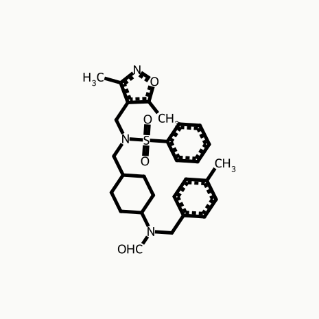 Cc1ccc(CN(C=O)C2CCC(CN(Cc3c(C)noc3C)S(=O)(=O)c3ccccc3)CC2)cc1